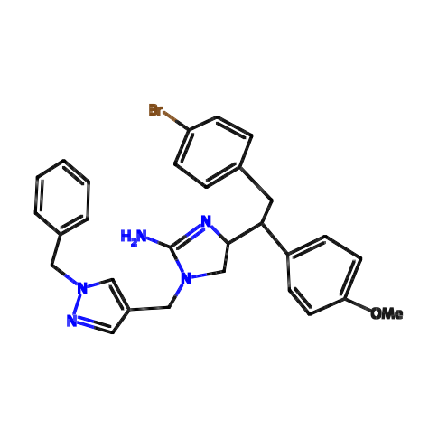 COc1ccc(C(Cc2ccc(Br)cc2)C2CN(Cc3cnn(Cc4ccccc4)c3)C(N)=N2)cc1